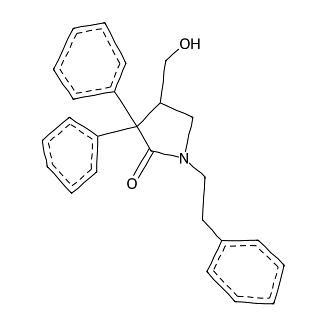 O=C1N(CCc2ccccc2)CC(CO)C1(c1ccccc1)c1ccccc1